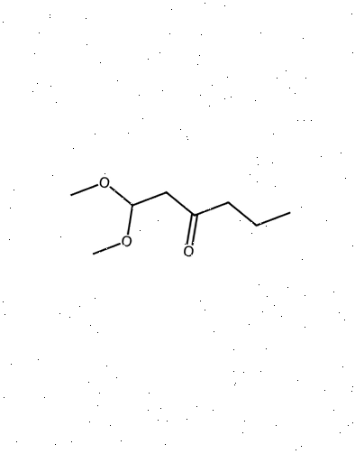 CCCC(=O)CC(OC)OC